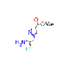 COC(=O)c1cnn(CC(=CF)CN)c1